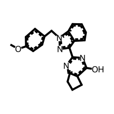 COc1ccc(Cn2nc(-c3nc(O)c4c(n3)CCC4)c3ccccc32)cc1